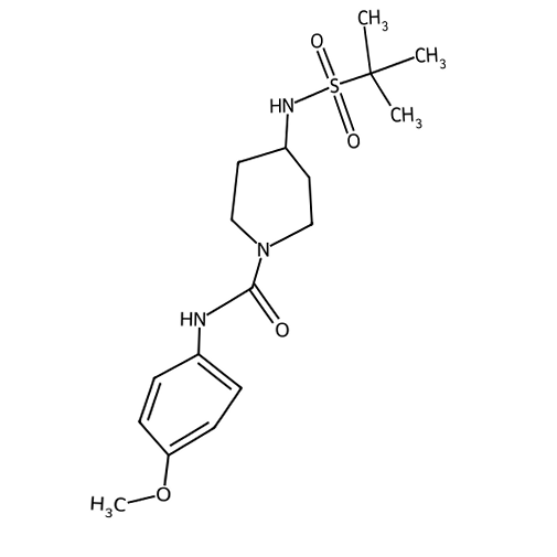 COc1ccc(NC(=O)N2CCC(NS(=O)(=O)C(C)(C)C)CC2)cc1